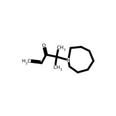 C=CC(=O)C(C)(C)N1CCCCCCC1